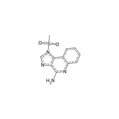 CS(=O)(=O)n1cnc2c(N)nc3ccccc3c21